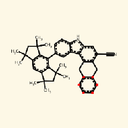 CC1(C)CC(C)(C)c2c1cc1c(c2-c2ccc3[nH]c4cc(C#N)c5c(c4c3c2)C2c3ccccc3C5c3ccccc32)C(C)(C)CC1(C)C